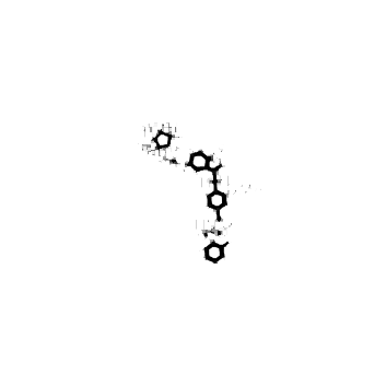 [2H]C([2H])(c1ccc(C(=O)NS(=O)(=O)c2ccccc2C)cc1OC)c1cn(C)c2ccc(NC(=O)OC3C([2H])([2H])C([2H])([2H])C([2H])([2H])C3([2H])[2H])cc12